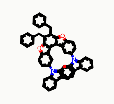 c1ccc(Cc2c(Cc3ccccc3)c3oc4ccc(-n5c6ccccc6c6ccccc65)cc4c3c3c2oc2ccc(-n4c5ccccc5c5ccccc54)cc23)cc1